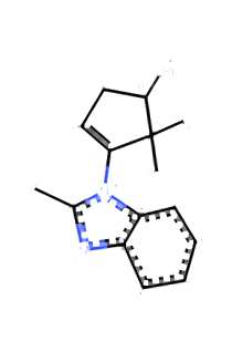 Cc1nc2ccccc2n1C1=CCC(C(C)C)C1(C)C